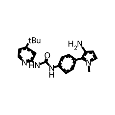 Cn1ccc(N)c1-c1ccc(NC(=O)Nc2cc(C(C)(C)C)ccn2)cc1